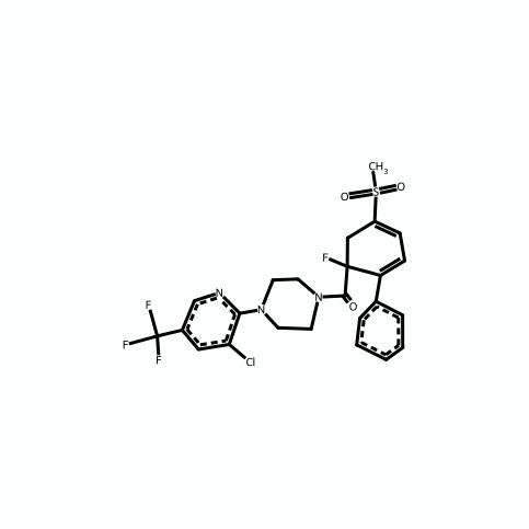 CS(=O)(=O)C1=CC=C(c2ccccc2)C(F)(C(=O)N2CCN(c3ncc(C(F)(F)F)cc3Cl)CC2)C1